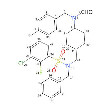 Cc1ccc(CN(C=O)C2CCC(CN(Cc3ccccc3)S(=O)(=O)c3cccc(Cl)c3F)CC2)cc1